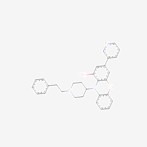 Oc1cc(-c2cccnc2)cc2c1N(C1CCN(CCc3ccccc3)CC1)c1ccccc1O2